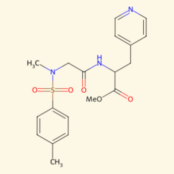 COC(=O)C(Cc1ccncc1)NC(=O)CN(C)S(=O)(=O)c1ccc(C)cc1